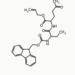 C=CCOC(=O)C(CCC(C)=O)NC(=O)C(CC)NC(=O)OCC1c2ccccc2-c2ccccc21